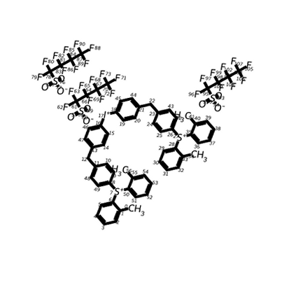 Cc1ccccc1[S+](c1ccc(Cc2ccc([I+]c3ccc(Cc4ccc([S+](c5ccccc5C)c5ccccc5C)cc4)cc3)cc2)cc1)c1ccccc1C.O=S(=O)([O-])C(F)(F)C(F)(F)C(F)(F)C(F)(F)F.O=S(=O)([O-])C(F)(F)C(F)(F)C(F)(F)C(F)(F)F.O=S(=O)([O-])C(F)(F)C(F)(F)C(F)(F)C(F)(F)F